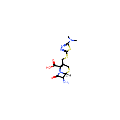 CN(C)c1nnc(SCC2=C(C(=O)O)N3C(=O)C(N)[C@@H]3SC2)s1